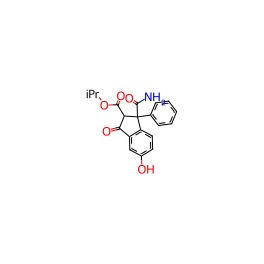 CC(C)OC(=O)C1C(=O)c2cc(O)ccc2C1(C(N)=O)c1ccccc1